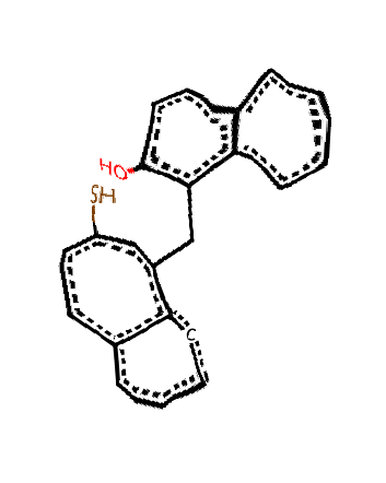 Oc1ccc2ccccc2c1Cc1c(S)ccc2ccccc12